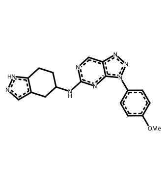 COc1ccc(-n2nnc3cnc(NC4CCc5[nH]ncc5C4)nc32)cc1